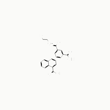 O=C(O)c1cccc(C(=O)O)c1.O=C(O)c1cccc2ccccc12.OCCO